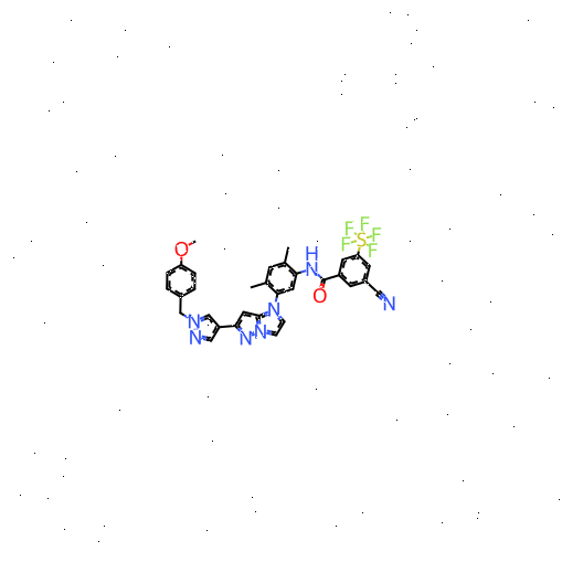 COc1ccc(Cn2cc(-c3cc4n(-c5cc(NC(=O)c6cc(C#N)cc(S(F)(F)(F)(F)F)c6)c(C)cc5C)ccn4n3)cn2)cc1